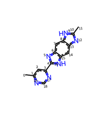 Cc1cc(-c2nc3cc4[nH]c(C)nc4cc3[nH]2)ncn1